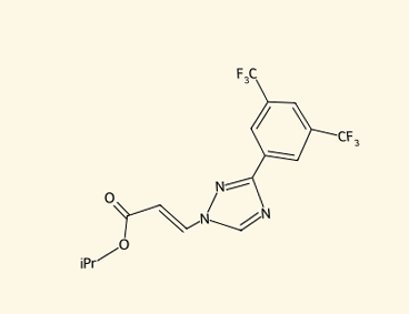 CC(C)OC(=O)C=Cn1cnc(-c2cc(C(F)(F)F)cc(C(F)(F)F)c2)n1